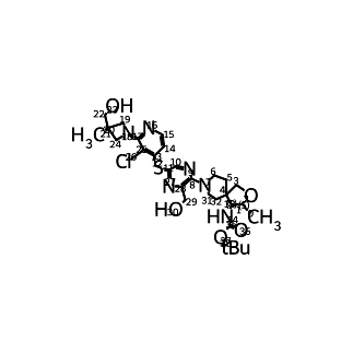 C[C@@H]1OCC2(CCN(c3ncc(Sc4ccnc(N5CC(C)(CO)C5)c4Cl)nc3CO)CC2)[C@@H]1NC(=O)OC(C)(C)C